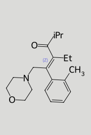 CC/C(C(=O)C(C)C)=C(/CN1CCOCC1)c1ccccc1C